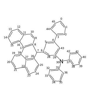 c1ccc(-c2cc(C3c4ccc5ccccc5c4-c4cccc5cccc3c45)cc(N(c3ccccc3)c3ccccc3)c2)cc1